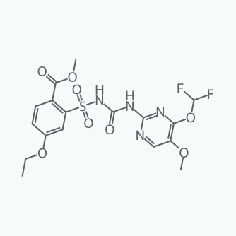 CCOc1ccc(C(=O)OC)c(S(=O)(=O)NC(=O)Nc2ncc(OC)c(OC(F)F)n2)c1